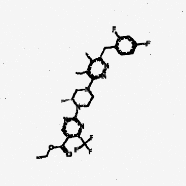 CCOC(=O)c1cnc(N2CCN(c3nnc(Cc4ccc(F)cc4F)c(C)c3C)C[C@H]2C)nc1C(F)(F)F